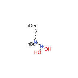 CCCCCCCCCCCCCCCCCCN(CCCC)CCCN(CCO)CCO